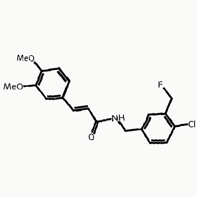 COc1ccc(/C=C/C(=O)NCc2ccc(Cl)c(CF)c2)cc1OC